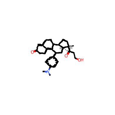 CN(C)c1ccc(C2C[C@@]3(C)C(CC[C@]3(C)C(=O)CCO)C3CCC4=CC(=O)CCC4=C23)cc1